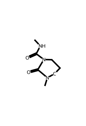 CNC(=O)N1CCCN(C)C1=O